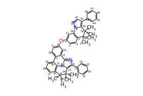 CC1(C)c2ccc(Oc3ccc4c(c3)c3nc(-c5ccccc5)c5n3c3c(cccc43)C(C)(C)C5(C)C)cc2-n2ncc(-c3ccccc3)c2C1(C)C